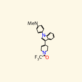 CNc1ccc(-n2cc(C3=CCN(C(=O)C(F)(F)F)CC3)c3ccccc32)cc1